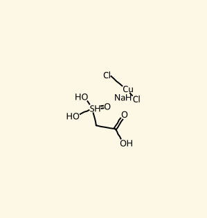 O=C(O)C[SH](=O)(O)O.[Cl][Cu][Cl].[NaH]